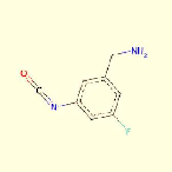 NCc1cc(F)cc(N=C=O)c1